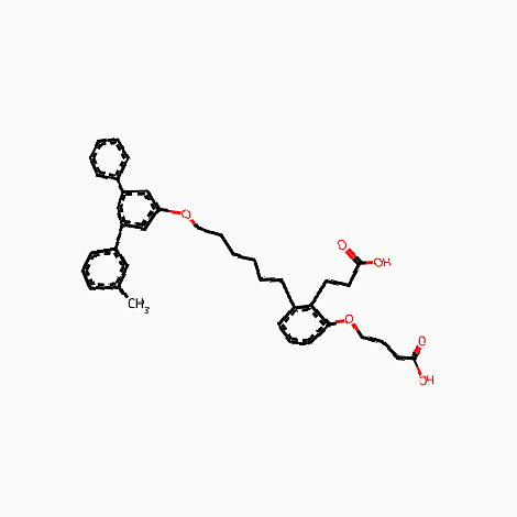 Cc1cccc(-c2cc(OCCCCCCc3cccc(OCCCC(=O)O)c3CCC(=O)O)cc(-c3ccccc3)c2)c1